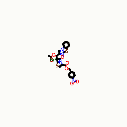 CC(=O)OC(c1cn2c(n1)sc1ccccc12)C1(Br)C(=O)N2C(C(=O)OCc3ccc([N+](=O)[O-])cc3)=CSC21